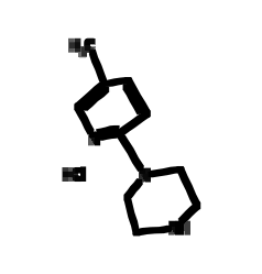 Cc1ccc(N2CCNCC2)nc1.Cl